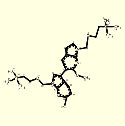 COc1nc2c(ccn2COCC[Si](C)(C)C)cc1-c1cn(COCC[Si](C)(C)C)c2nc(Cl)ccc12